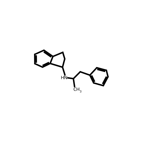 CC(Cc1ccccc1)NC1CCc2ccccc21